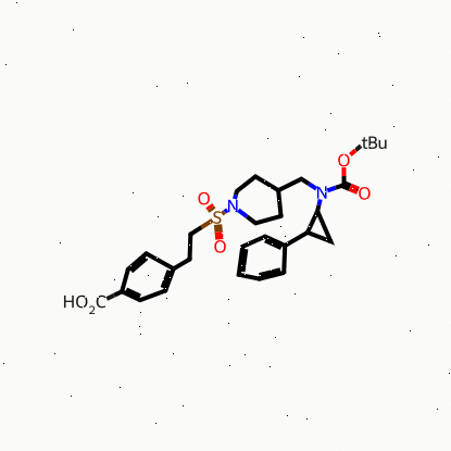 CC(C)(C)OC(=O)N(CC1CCN(S(=O)(=O)CCc2ccc(C(=O)O)cc2)CC1)C1CC1c1ccccc1